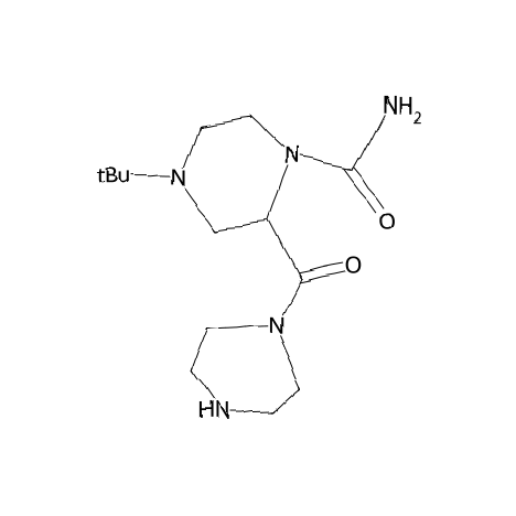 CC(C)(C)N1CCN(C(N)=O)C(C(=O)N2CCNCC2)C1